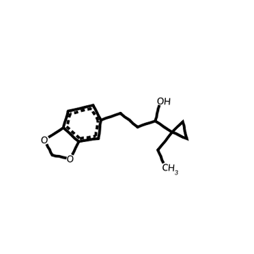 CCC1(C(O)CCc2ccc3c(c2)OCO3)CC1